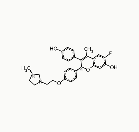 CC1=C(c2ccc(O)cc2)[C@H](c2ccc(OCCN3CC[C@@H](C)C3)cc2)Oc2cc(O)c(F)cc21